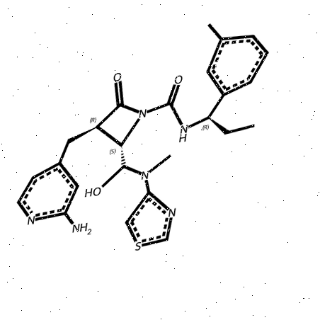 CC[C@@H](NC(=O)N1C(=O)[C@H](Cc2ccnc(N)c2)[C@H]1C(O)N(C)c1cscn1)c1cccc(C)c1